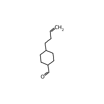 C=CCCC1CCC(C=O)CC1